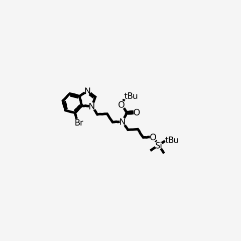 CC(C)(C)OC(=O)N(CCCO[Si](C)(C)C(C)(C)C)CCCn1cnc2cccc(Br)c21